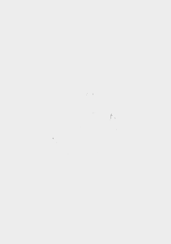 CN(C)C(=O)c1c[nH]cc1Cl